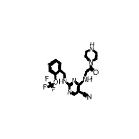 N#Cc1cnc(NCc2ccccc2OC(F)(F)F)nc1NCC(=O)N1CCNCC1